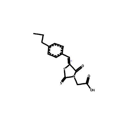 CCCc1ccc(/C=C2\SC(=S)N(CC(=O)O)C2=O)cc1